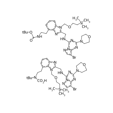 CC(C)(C)N(CCc1cccc2nc(CNc3nc(N4CCOCC4)nc4c(Br)cnn34)n(COCC[Si](C)(C)C)c12)C(=O)O.CC(C)(C)OC(=O)NCCc1cccc2c1nc(CNc1nc(N3CCOCC3)nc3c(Br)cnn13)n2COCC[Si](C)(C)C